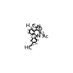 C#Cc1ccc(C2=N[C@@H](CC(C)=O)c3onc(C)c3-c3ccccc32)cc1